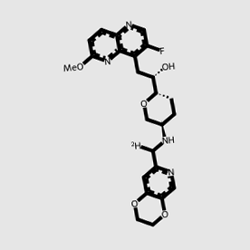 [2H]C(N[C@@H]1CC[C@@H]([C@@H](O)Cc2c(F)cnc3ccc(OC)nc23)OC1)c1cc2c(cn1)OCCO2